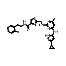 Cc1cc(Nc2cc(C3CC3)n[nH]2)nc(NCc2nc(C(=O)NCCC3=CCCC=C3F)cs2)n1